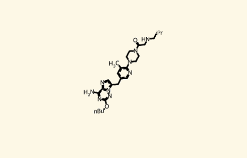 CCCCOc1nc(N)c2ncc(Cc3cnc(N4CCN(C(=O)CNCC(C)C)CC4)c(C)c3)n2n1